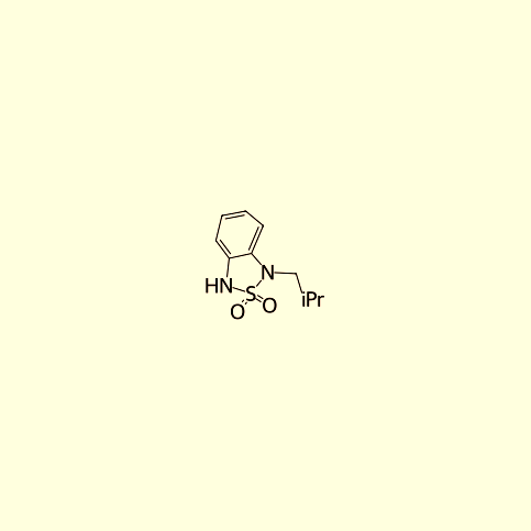 CC(C)CN1c2ccccc2NS1(=O)=O